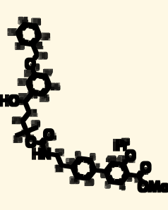 COC(=O)c1ccc(-c2ccc(CCNC(=O)OC(C)(C)CC[C@@H](O)c3cccc(OCc4ccccc4)c3)cc2)cc1OC(C)C